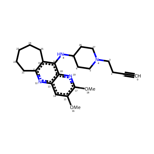 C#CCCN1CCC(Nc2c3c(nc4cc(OC)c(OC)nc24)CCCCC3)CC1